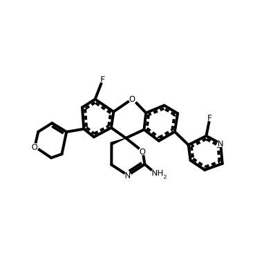 NC1=NCC[C@]2(O1)c1cc(-c3cccnc3F)ccc1Oc1c(F)cc(C3=CCOCC3)cc12